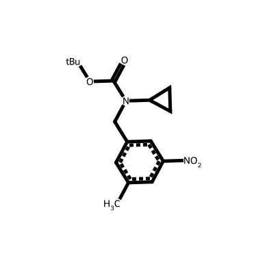 Cc1cc(CN(C(=O)OC(C)(C)C)C2CC2)cc([N+](=O)[O-])c1